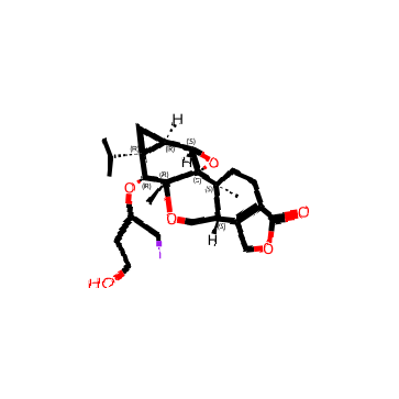 CC(C)[C@]12C[C@H]1[C@@H]1O[C@@]13[C@@]1(C)CCC4=C(COC4=O)[C@@H]1CO[C@]3(C)[C@@H]2OC(CI)CCO